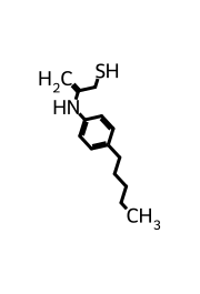 C=C(CS)Nc1ccc(CCCCC)cc1